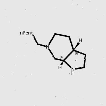 CCCCCCN1CC[C@@H]2CCN[C@@H]2C1